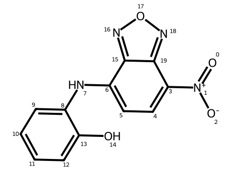 O=[N+]([O-])c1ccc(Nc2ccccc2O)c2nonc12